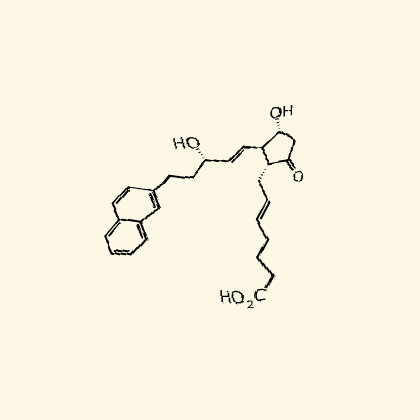 O=C(O)CCCC=CC[C@H]1C(=O)C[C@@H](O)[C@@H]1C=C[C@@H](O)CCc1ccc2ccccc2c1